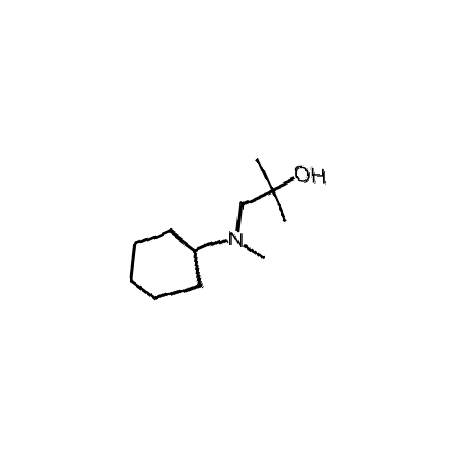 CN(CC(C)(C)O)C1CCCCC1